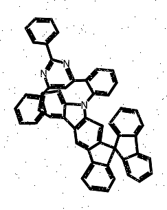 c1ccc(-c2cc(-c3ccccc3-n3c4ccccc4c4cc5c(cc43)C3(c4ccccc4-c4ccccc43)c3ccccc3-5)nc(-c3ccccc3)n2)cc1